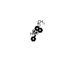 CCOc1ccc(S(=O)(=O)NCc2ccccc2)c2ccccc12